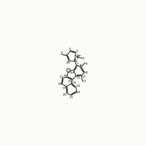 Cc1cc[n+](C)c(-c2c(C)cc(C)c3c2oc2ccc4ccccc4c23)c1